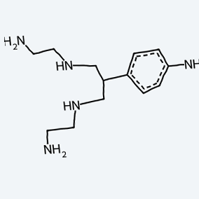 NCCNCC(CNCCN)c1ccc(N)cc1